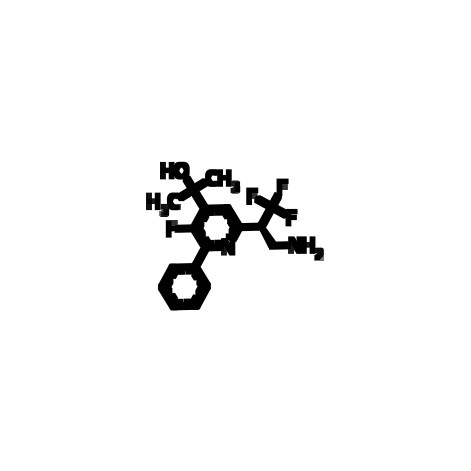 CC(C)(O)c1cc([C@H](CN)C(F)(F)F)nc(-c2ccccc2)c1F